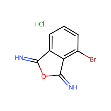 Cl.N=C1OC(=N)c2c(Br)cccc21